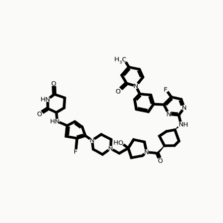 Cc1ccn(-c2cccc(-c3nc(N[C@H]4CC[C@H](C(=O)N5CCC(O)(CN6CCN(c7ccc(NC8CCC(=O)NC8=O)cc7F)CC6)CC5)CC4)ncc3F)c2)c(=O)c1